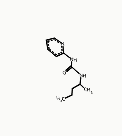 CCCC(C)NC(=O)Nc1ccccn1